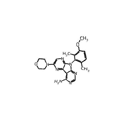 COc1ccc(C)c(-n2c3ncc(N4CCOCC4)nc3c3c(N)ncnc32)c1C